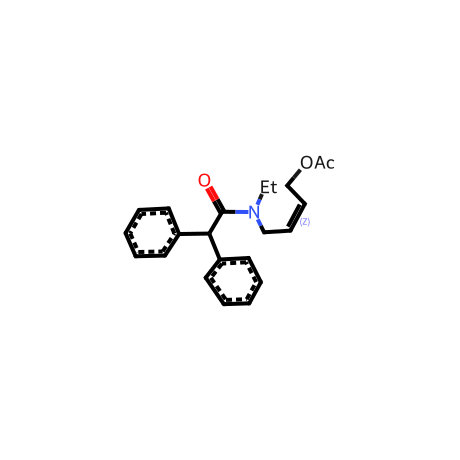 CCN(C/C=C\COC(C)=O)C(=O)C(c1ccccc1)c1ccccc1